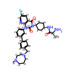 CC(C)[C@H](N)C(=O)N[C@H]1CC[C@@H](n2c(=O)c3cc(F)cnc3n(-c3cccc(-c4ccc(CN5CCCN(C)CC5)cc4)c3)c2=O)CC1